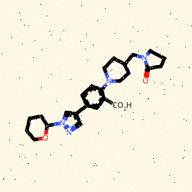 O=C(O)c1cc(-c2cnn(C3CCCCO3)c2)ccc1N1CCC(CN2CCCC2=O)CC1